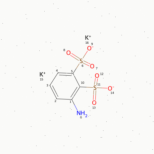 Nc1cccc(S(=O)(=O)[O-])c1S(=O)(=O)[O-].[K+].[K+]